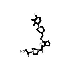 Cc1c(F)ccc(N2CCC(CCn3nc(C(=O)N4CCN(C(=O)CO)CC4)c4c3CCC4)CC2)c1C